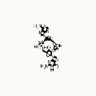 Nc1nc2c(ncn2C2OC3COP(=O)(O)OC4C(O)C(COP(=O)(O)OC2C3O)OC4n2cnc3c(N)ncnc32)c(=O)[nH]1